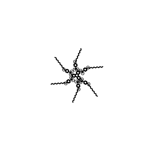 CCCCCCCCCCOc1ccc(C(=O)Oc2cc3c4cc(OC(=O)c5ccc(OCCCCCCCCCC)cc5)c(OC(=O)c5ccc(OCCCCCCCCCC)cc5)cc4c4cc(OC(=O)c5ccc(OCCCCCCCCCC)cc5)c(OC(=O)c5ccc(OCCCCCCCCCC)cc5)cc4c3cc2OC(=O)c2ccc(OCCCCCCCCCC)cc2)cc1